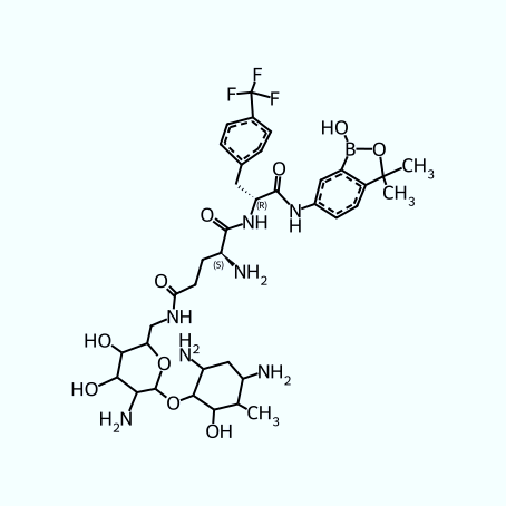 CC1C(N)CC(N)C(OC2OC(CNC(=O)CC[C@H](N)C(=O)N[C@H](Cc3ccc(C(F)(F)F)cc3)C(=O)Nc3ccc4c(c3)B(O)OC4(C)C)C(O)C(O)C2N)C1O